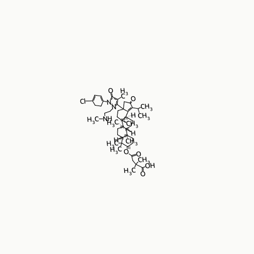 CNCCn1c(C23CC[C@]4(C)[C@H](CC[C@@H]5[C@@]6(C)CC[C@H](OC(=O)CC(C)(C)C(=O)O)C(C)(C)[C@@H]6CC[C@]54C)C2=C(C(C)C)C(=O)C3)c(C)c(=O)n1C1=CC=C(Cl)CC1